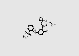 COCC1CN(c2nc(Nc3ccccc3S(N)(=O)=O)ncc2Cl)CC2(CCC2)O1